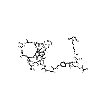 CC[C@H](C)[C@@H]1NC(=O)CNC(=O)[C@@H]2Cc3c([nH]c4ccccc34)SC[C@H](NC(=O)CNC1=O)C(=O)N[C@@H](CC(N)=O)C(=O)N1C[C@H](OC(=O)N(C)CCN(C)C(=O)OCc3ccc(NC(=O)[C@H](CCCNC(N)=O)NC(=O)[C@@H](NC(=O)CCCCCN4C(=O)C=CC4=O)C(C)C)cc3)CC1C(=O)N[C@@H]([C@@H](C)C(CO[Si](C)(C)C(C)(C)C)O[Si](C)(C)C(C)(C)C)C(=O)N2